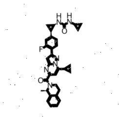 C[C@@H]1c2ccccc2CCN1C(=O)c1cc(C2CC2)n2nc(-c3ccc([C@H]4C[C@@H]4NC(=O)NC4CC4)cc3F)cc2n1